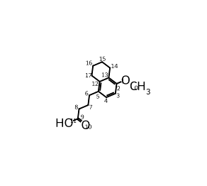 COc1ccc(CCCC(=O)O)c2c1CCCC2